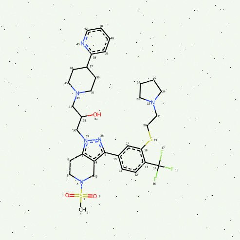 CS(=O)(=O)N1CCc2c(c(-c3ccc(C(F)(F)F)c(SCCN4CCCC4)c3)nn2CC(O)CN2CCC(c3ccccn3)CC2)C1